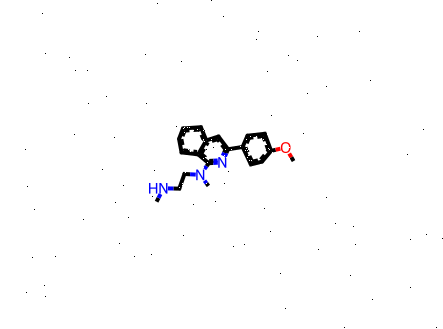 CNCCN(C)c1nc(-c2ccc(OC)cc2)cc2ccccc12